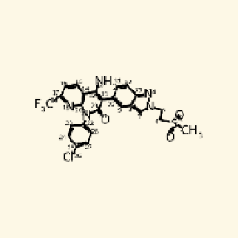 CS(=O)(=O)CCn1cc2cc(-c3c(N)c4ccc(C(F)(F)F)nc4n(-c4ccc(Cl)cc4)c3=O)ccc2n1